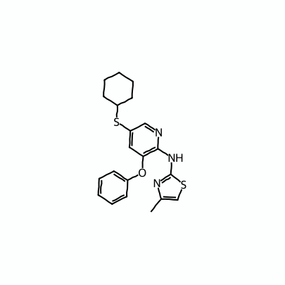 Cc1csc(Nc2ncc(SC3CCCCC3)cc2Oc2ccccc2)n1